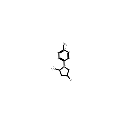 CC1CC(O)CN1c1ccc(N)cc1